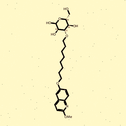 COc1ccc2cc(OCCCCCCCCO[C@H]3[C@H](O)[C@@H](CO)OC(O)[C@@H]3O)ccc2n1